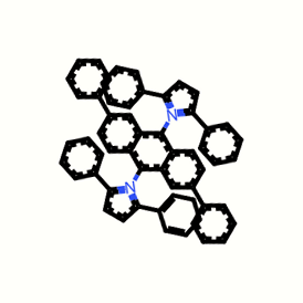 C1=CC(c2ccc(-c3ccccc3)n2-c2c3cc(-c4ccccc4)ccc3c(-n3c(-c4ccccc4)ccc3-c3ccccc3)c3cc(-c4ccccc4)ccc23)=CCC1